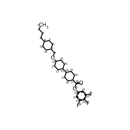 CCCCC1CCC(COC2CCC(C3CCC(C(=O)Oc4cc(F)c(F)c(F)c4)CC3)CC2)CC1